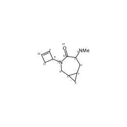 CNC1CC2CC2CN(C2C=CC2)C1=O